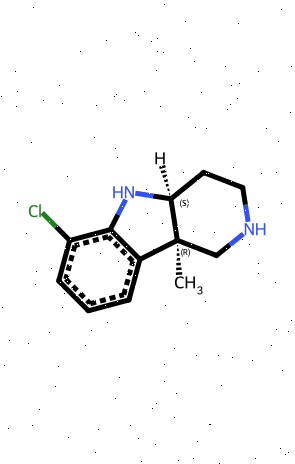 C[C@@]12CNCC[C@@H]1Nc1c(Cl)cccc12